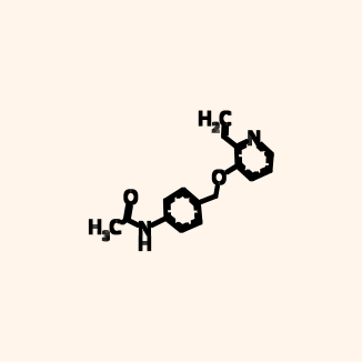 C=Cc1ncccc1OCc1ccc(NC(C)=O)cc1